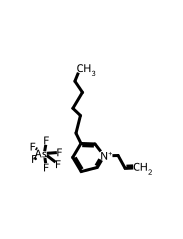 C=CC[n+]1cccc(CCCCCC)c1.F[As-](F)(F)(F)(F)F